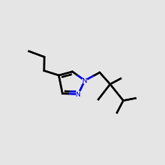 CCCc1cnn(CC(C)(C)C(C)C)c1